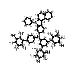 [2H]c1c([2H])c([2H])c(-c2ccc(N(c3cc(-c4c([2H])c([2H])c([2H])c([2H])c4[2H])cc(-c4c([2H])c([2H])c([2H])c([2H])c4[2H])c3)c3ccc4c5c6ccccc6ccc5n(-c5ccccc5)c4c3)cc2)c([2H])c1[2H]